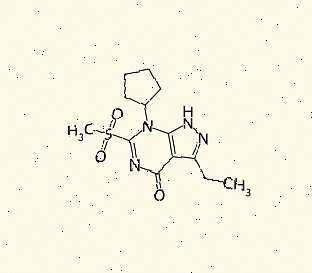 CCc1n[nH]c2c1c(=O)nc(S(C)(=O)=O)n2C1CCCC1